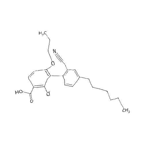 CCCCCCc1ccc(-c2c(OCCC)ccc(C(=O)O)c2Cl)c(C#N)c1